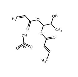 C=CC(=O)OC(OC(=O)C=CC)C(C)O.O=[SH](=O)O